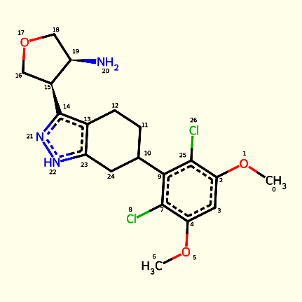 COc1cc(OC)c(Cl)c(C2CCc3c([C@H]4COC[C@H]4N)n[nH]c3C2)c1Cl